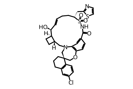 O=C1NS(=O)(=O)[C@@H](Cc2nccs2)CC/C=C/[C@H](O)[C@@H]2CC[C@H]2CN2C[C@@]3(CCCc4cc(Cl)ccc43)COc3ccc1cc32